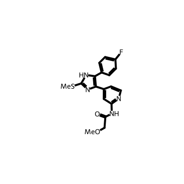 COCC(=O)Nc1cc(-c2nc(SC)[nH]c2-c2ccc(F)cc2)ccn1